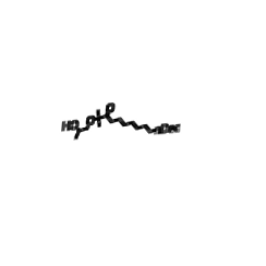 CCCCCCCCCCCCCCCCCC(=O)C(C)(C)OCC(C)O